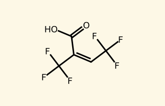 O=C(O)C(=CC(F)(F)F)C(F)(F)F